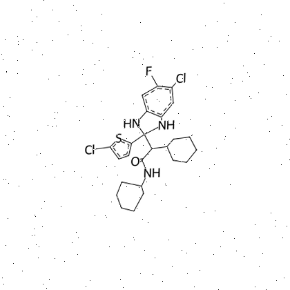 O=C(NC1CCCCC1)C(C1CCCCC1)C1(c2ccc(Cl)s2)Nc2cc(F)c(Cl)cc2N1